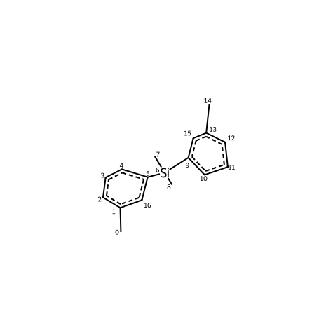 Cc1cccc([Si](C)(C)c2cccc(C)c2)c1